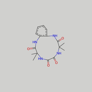 CC1(C)NC(=O)C(=O)NC(C)(C)C(=O)Nc2ccccc2NC1=O